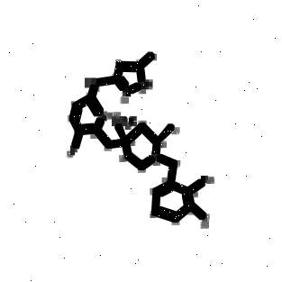 Cc1cc(Nc2ccc(F)c(C[C@@]3(C(=O)O)CCN(Cc4cccc(F)c4F)[C@H](C)C3)n2)n[nH]1